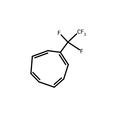 FC(F)(F)C(F)(F)C1=CC=CC=CC=C1